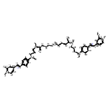 CN(CCCN(C)c1ccc(/C=C/C2=CC(F)N(C)C=C2)cc1)C(=O)CCCSSCCCC(=O)N(C)CCCN(C)c1ccc(/C=C/c2cc[n+](C)c(F)c2)cc1